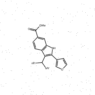 CCCC(CCC)c1c(-c2ccoc2)[nH]c2cc(C(=O)OC)ccc12